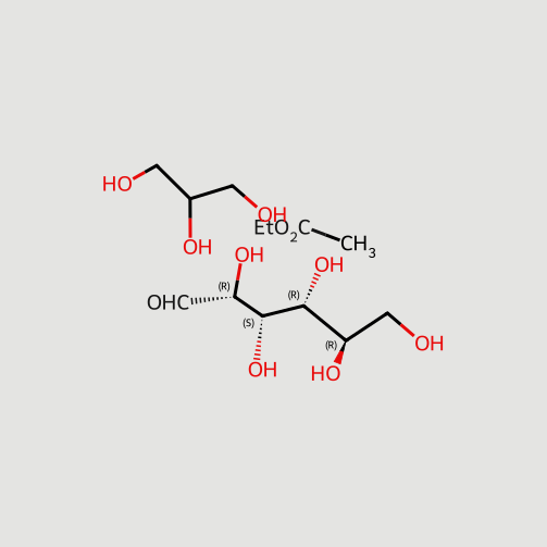 CCOC(C)=O.O=C[C@H](O)[C@@H](O)[C@H](O)[C@H](O)CO.OCC(O)CO